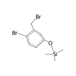 C[Si](C)(C)Oc1ccc(Br)c(CBr)c1